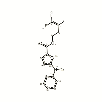 CC(CCOC(=O)c1csc(N(C)c2ccccc2)n1)=C(F)F